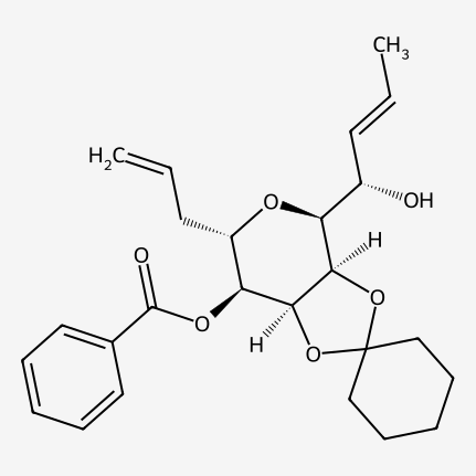 C=CC[C@@H]1O[C@@H]([C@@H](O)/C=C/C)[C@H]2OC3(CCCCC3)O[C@H]2[C@H]1OC(=O)c1ccccc1